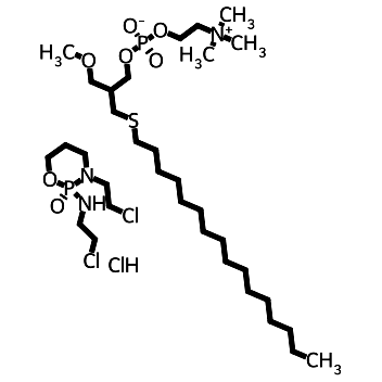 CCCCCCCCCCCCCCCCSCC(COC)COP(=O)([O-])OCC[N+](C)(C)C.Cl.O=P1(NCCCl)OCCCN1CCCl